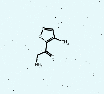 Cc1cnoc1C(=O)CN